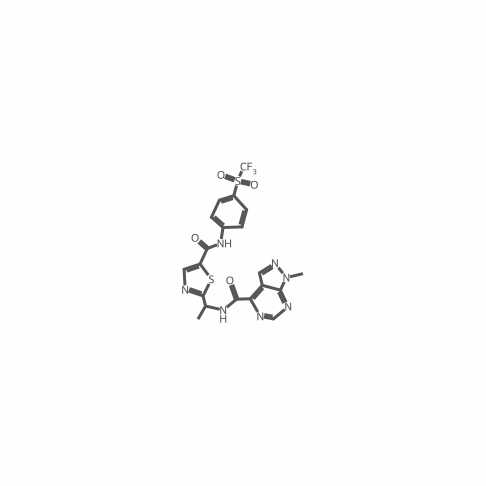 CC(NC(=O)c1ncnc2c1cnn2C)c1ncc(C(=O)Nc2ccc(S(=O)(=O)C(F)(F)F)cc2)s1